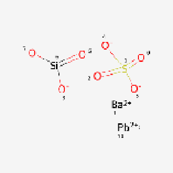 O=S(=O)([O-])[O-].O=[Si]([O-])[O-].[Ba+2].[Pb+2]